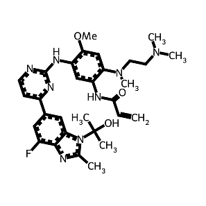 C=CC(=O)Nc1cc(Nc2nccc(-c3cc(F)c4nc(C)n(C(C)(C)O)c4c3)n2)c(OC)cc1N(C)CCN(C)C